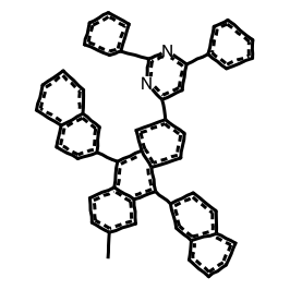 Cc1ccc2c(-c3ccc4ccccc4c3)c3cc(-c4cc(-c5ccccc5)nc(-c5ccccc5)n4)ccc3c(-c3ccc4ccccc4c3)c2c1